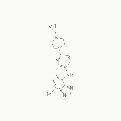 Brc1cnc(Nc2ccc(N3CCN(C4CC4)CC3)nc2)c2ncnn12